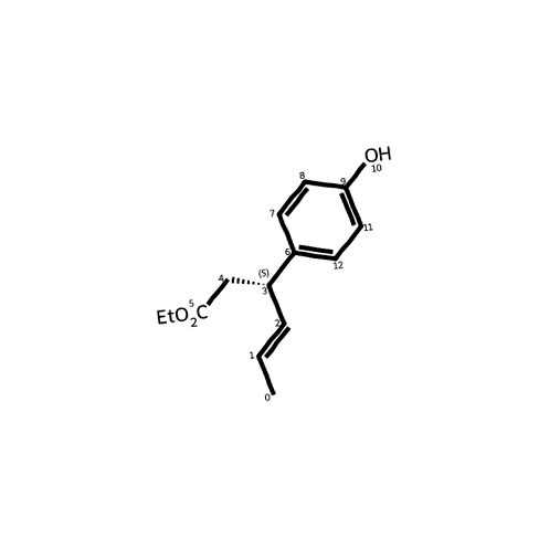 CC=C[C@H](CC(=O)OCC)c1ccc(O)cc1